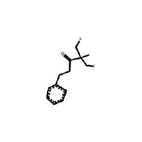 CC(CF)(CF)C(=O)CCc1ccccc1